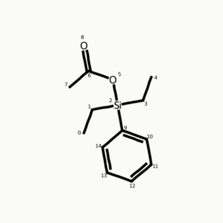 CC[Si](CC)(OC(C)=O)c1ccccc1